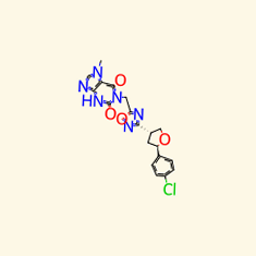 Cn1cnc2[nH]c(=O)n(Cc3nc([C@@H]4CO[C@@H](c5ccc(Cl)cc5)C4)no3)c(=O)c21